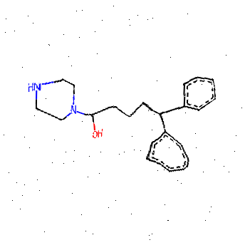 OC(CCCC(c1ccccc1)c1ccccc1)N1CCNCC1